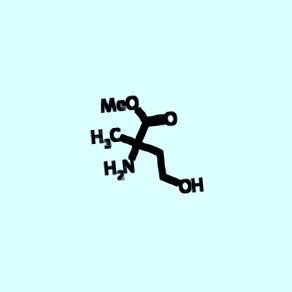 COC(=O)C(C)(N)CCO